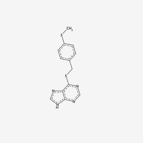 CSc1ccc(CSc2ncnc3[nH]cnc23)cc1